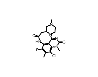 Cc1c(F)c2c3c(nc(=O)n(C)c3c1Cl)N1CCN(C)CC1CC(=O)N2